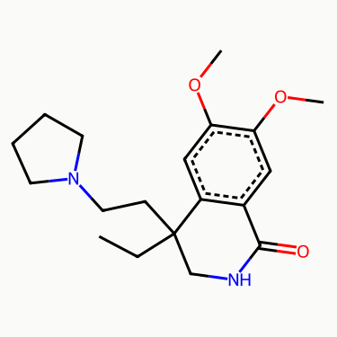 CCC1(CCN2CCCC2)CNC(=O)c2cc(OC)c(OC)cc21